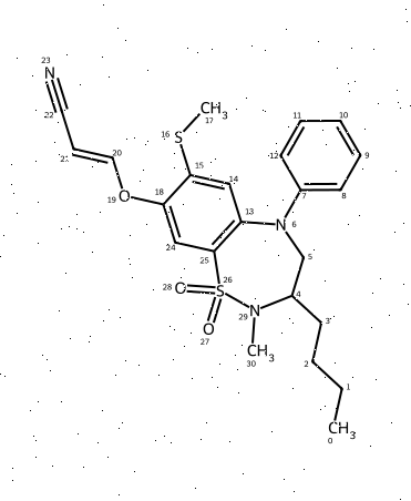 CCCCC1CN(c2ccccc2)c2cc(SC)c(O/C=C/C#N)cc2S(=O)(=O)N1C